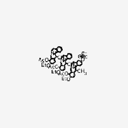 CCOc1ccc2c(C)c3c4ccccc4cc[n+]3cc2c1OC(C)=O.CCOc1ccc2c(C)c3c4ccccc4cc[n+]3cc2c1OC(C)=O.CCOc1ccc2c(C)c3c4ccccc4cc[n+]3cc2c1OC(C)=O.O=P([O-])([O-])[O-]